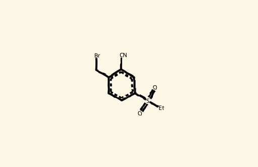 CCS(=O)(=O)c1ccc(CBr)c(C#N)c1